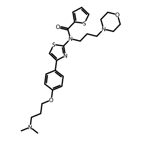 CN(C)CCCOc1ccc(-c2csc(N(CCCN3CCOCC3)C(=O)c3cccs3)n2)cc1